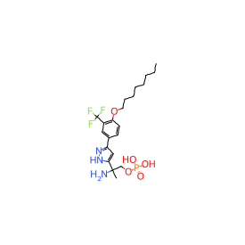 CCCCCCCCOc1ccc(-c2cc(C(C)(N)COP(=O)(O)O)[nH]n2)cc1C(F)(F)F